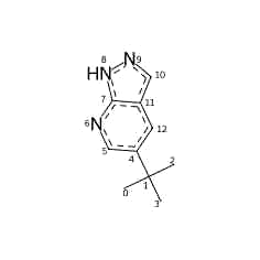 CC(C)(C)c1cnc2[nH]ncc2c1